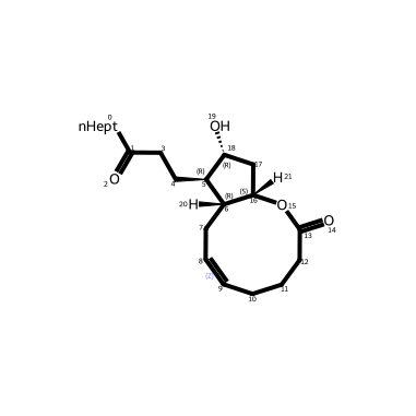 CCCCCCCC(=O)CC[C@@H]1[C@H]2C/C=C\CCCC(=O)O[C@H]2C[C@H]1O